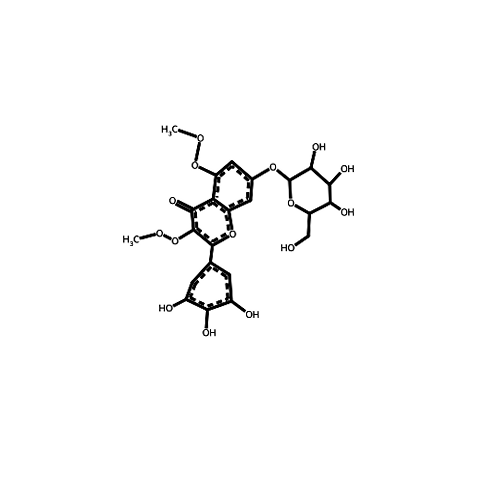 COOc1c(-c2cc(O)c(O)c(O)c2)oc2cc(OC3OC(CO)C(O)C(O)C3O)cc(OOC)c2c1=O